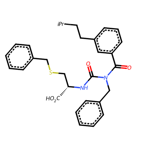 CC(C)CCc1cccc(C(=O)N(Cc2ccccc2)C(=O)N[C@@H](CSCc2ccccc2)C(=O)O)c1